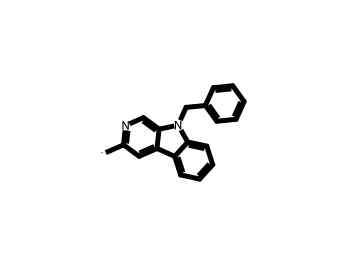 [CH2]c1cc2c3ccccc3n(Cc3ccccc3)c2cn1